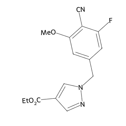 CCOC(=O)c1cnn(Cc2cc(F)c(C#N)c(OC)c2)c1